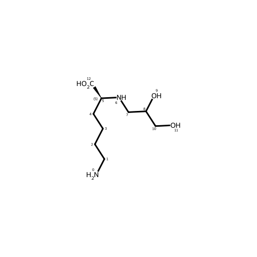 NCCCC[C@H](NCC(O)CO)C(=O)O